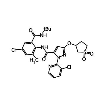 Cc1cc(Cl)cc(C(=O)NC(C)(C)C)c1NC(=O)c1cc(OC2CCS(=O)(=O)C2)nn1-c1ncccc1Cl